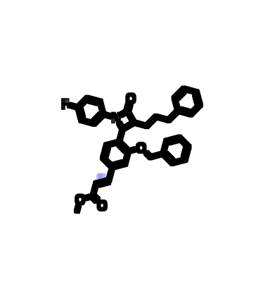 COC(=O)/C=C/c1ccc(C2C(CCCc3ccccc3)C(=O)N2c2ccc(F)cc2)c(OCc2ccccc2)c1